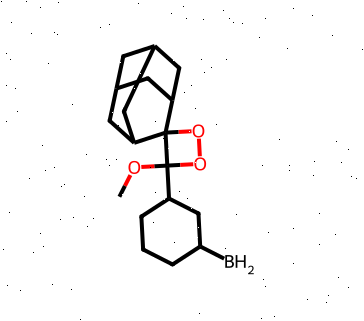 BC1CCCC(C2(OC)OOC23C2CC4CC(C2)CC3C4)C1